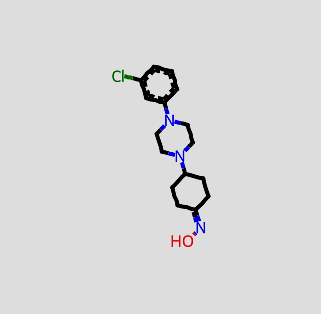 ON=C1CCC(N2CCN(c3cccc(Cl)c3)CC2)CC1